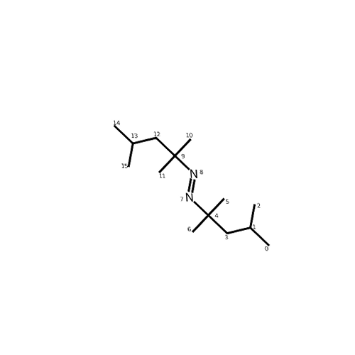 CC(C)CC(C)(C)N=NC(C)(C)CC(C)C